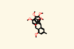 COc1cc(OC)c2c(c1)C1Cc3cc(OC)c(OC)cc3C2c2cc(C)cc(OC)c21